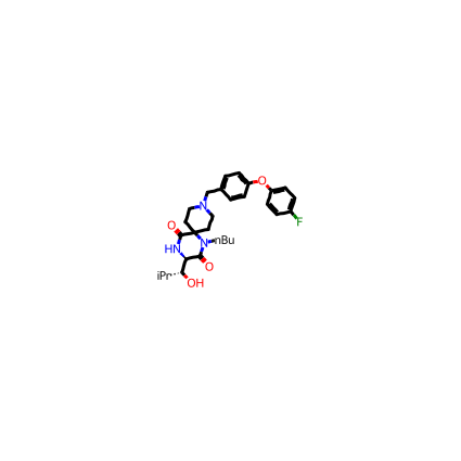 CCCCN1C(=O)[C@@H]([C@H](O)C(C)C)NC(=O)C12CCN(Cc1ccc(Oc3ccc(F)cc3)cc1)CC2